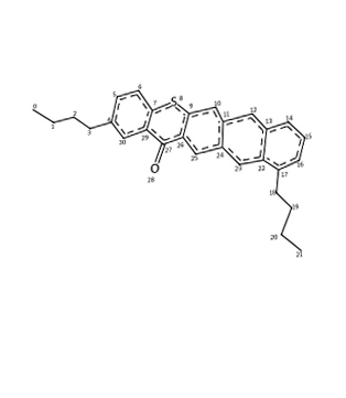 CCCCc1ccc2sc3cc4cc5cccc(CCCC)c5cc4cc3c(=O)c2c1